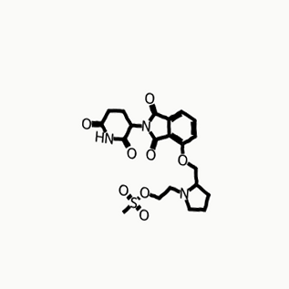 CS(=O)(=O)OCCN1CCCC1COc1cccc2c1C(=O)N(C1CCC(=O)NC1=O)C2=O